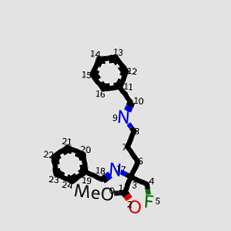 COC(=O)C(CF)(CCC/N=C/c1ccccc1)/N=C/c1ccccc1